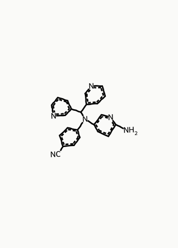 N#Cc1ccc(N(c2ccc(N)nc2)C(c2cccnc2)c2cccnc2)cc1